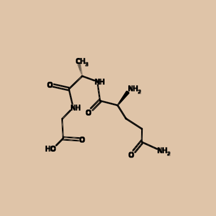 C[C@H](NC(=O)[C@@H](N)CCC(N)=O)C(=O)NCC(=O)O